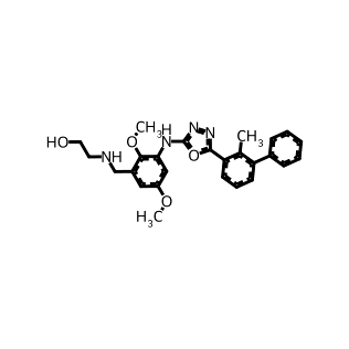 COc1cc(CNCCO)c(OC)c(Nc2nnc(-c3cccc(-c4ccccc4)c3C)o2)c1